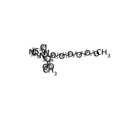 COCCOCCOCCOCCOCCOc1cc(C(=O)OC)cc2c1nc(CCl)n2Cc1cncs1